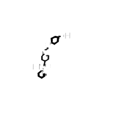 O=C(Nc1ccccn1)C1CCN(CCOc2ccc(O)cc2)CC1